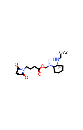 CC(=O)OCN[C@@H]1CCCCC1NCOC(=O)CCCN1C(=O)C=CC1=O